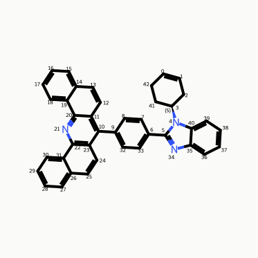 C1=CC[C@@H](n2c(-c3ccc(-c4c5ccc6ccccc6c5nc5c4ccc4ccccc45)cc3)nc3ccccc32)CC1